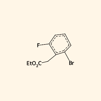 CCOC(=O)Cc1c(F)cccc1Br